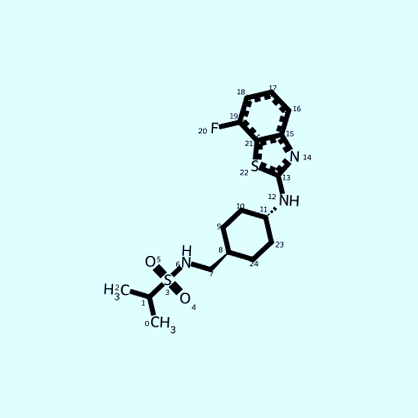 CC(C)S(=O)(=O)NC[C@H]1CC[C@H](Nc2nc3cccc(F)c3s2)CC1